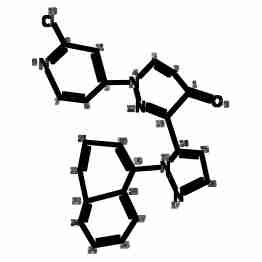 O=c1ccn(-c2ccnc(Cl)c2)nc1-c1ccnn1-c1cccc2ccccc12